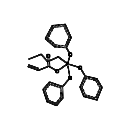 C=CC(=O)OP(CCCC)(Oc1ccccc1)(Oc1ccccc1)Oc1ccccc1